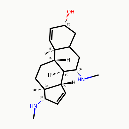 CN[C@H]1CC2C[C@@H](O)C=C[C@]2(C)[C@H]2CC[C@]3(C)[C@@H](NC)C=C[C@H]3[C@H]12